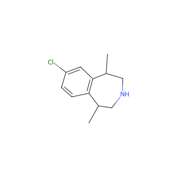 CC1CNCC(C)c2cc(Cl)ccc21